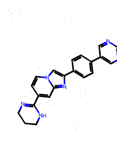 c1ncc(-c2ccc(-c3cn4ccc(C5=NCCCN5)cc4n3)cc2)cn1